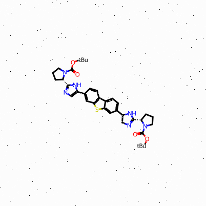 CC(C)(C)OC(=O)N1CCC[C@H]1C1=NCC(c2ccc3c(c2)sc2cc(-c4cnc([C@@H]5CCCN5C(=O)OC(C)(C)C)[nH]4)ccc23)N1